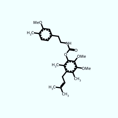 COc1cc(CCNC(=O)Oc2c(C)c(CC=C(C)C)c(C)c(OC)c2OC)ccc1C